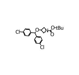 CC(C)(C)OC(=O)N1CC(OC(c2ccc(Cl)cc2)c2ccc(Cl)cc2)C1